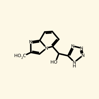 O=C(O)c1cn2c(C(O)c3nnn[nH]3)cccc2n1